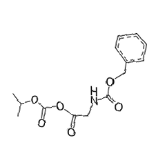 CC(C)OC(=O)OC(=O)CNC(=O)OCc1ccccc1